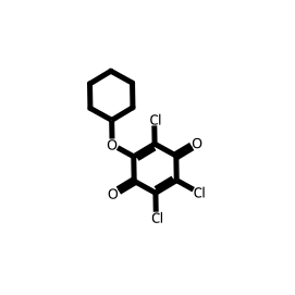 O=C1C(Cl)=C(Cl)C(=O)C(OC2CCCCC2)=C1Cl